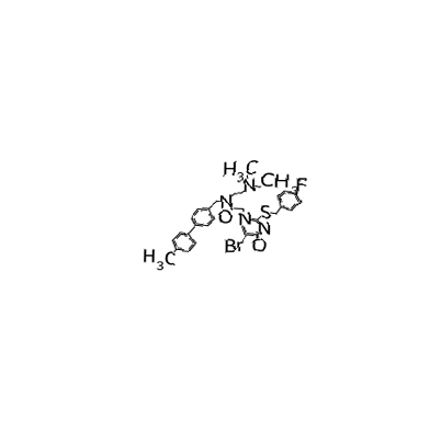 CCN(CC)CCN(Cc1ccc(-c2ccc(C)cc2)cc1)C(=O)Cn1cc(Br)c(=O)nc1SCc1ccc(F)cc1